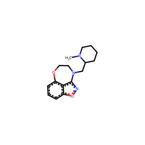 CN1CCCCC1CN1CCOc2cccc3onc1c23